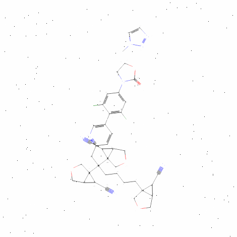 N#CC1C2COCC12CCCCC(Cc1ccc(-c2c(F)cc(N3C[C@H](Cn4ccnn4)OC3=O)cc2F)cn1)(C12COCC1C2C#N)C12COCC1C2C#N